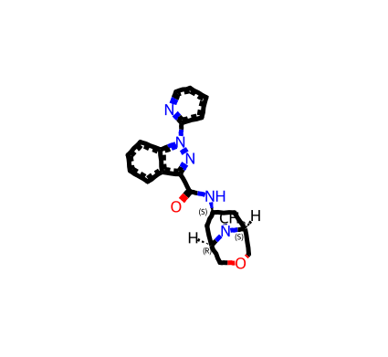 CN1[C@@H]2COC[C@H]1C[C@@H](NC(=O)c1nn(-c3ccccn3)c3ccccc13)C2